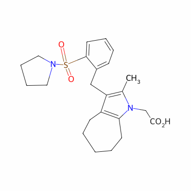 Cc1c(Cc2ccccc2S(=O)(=O)N2CCCC2)c2c(n1CC(=O)O)CCCCC2